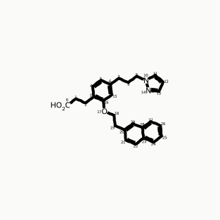 O=C(O)CCc1ccc(CCCn2cccn2)cc1OCCc1ccc2ccccc2c1